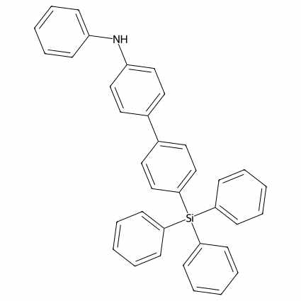 c1ccc(Nc2ccc(-c3ccc([Si](c4ccccc4)(c4ccccc4)c4ccccc4)cc3)cc2)cc1